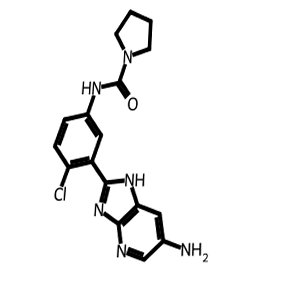 Nc1cnc2nc(-c3cc(NC(=O)N4CCCC4)ccc3Cl)[nH]c2c1